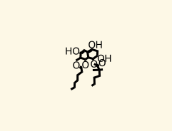 CCCCCCC(=O)OC1C(C)C(O)=CC2=C(O)CC(O)C(OC(=O)C(C)(C)CCCC)C21